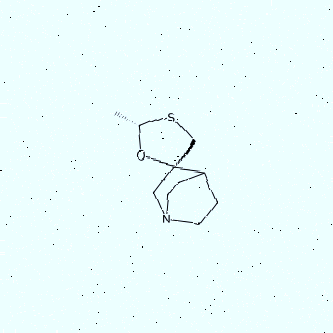 C[C@H]1O[C@@]2(CS1)CN1CCC2CC1